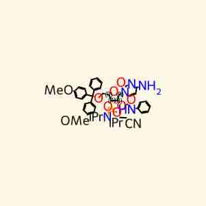 COc1ccc(C(OC[C@H]2O[C@@H](n3ccc(N)nc3=O)[C@H](OC(=O)Nc3ccccc3)[C@@H]2OP(OCCC#N)N(C(C)C)C(C)C)(c2ccccc2)c2ccc(OC)cc2)cc1